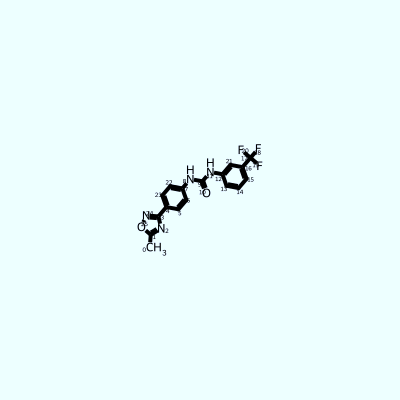 Cc1nc(-c2ccc(NC(=O)Nc3cccc(C(F)(F)F)c3)cc2)no1